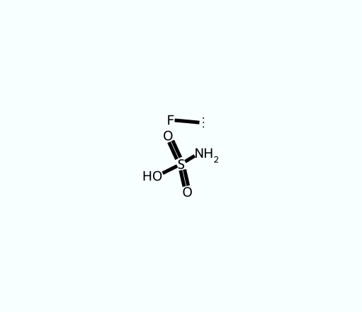 NS(=O)(=O)O.[C]F